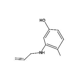 C=CCNc1cc(O)ccc1C